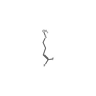 CSCCC=C(F)F